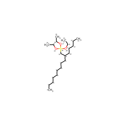 CCCCCCCCCC(CCCCC)CS(OCC)(OCC)OCC